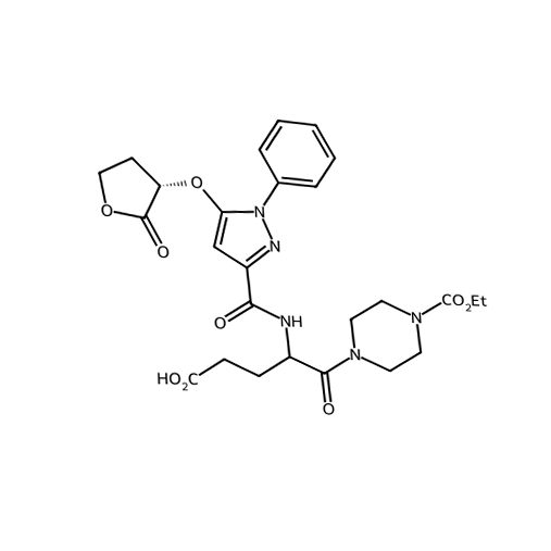 CCOC(=O)N1CCN(C(=O)C(CCC(=O)O)NC(=O)c2cc(O[C@H]3CCOC3=O)n(-c3ccccc3)n2)CC1